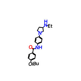 CCNC1CCN(c2ccc(NC(=O)c3ccc(OCC(C)C)cc3)cc2)C1